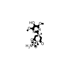 COc1nc([N+]2(C)CC(=O)[N+](C)(S(N)(=O)=O)C(=O)C2)nc(OC)c1O